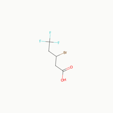 O=C(O)CC(Br)CC(F)(F)F